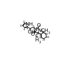 CN1C(=O)N(CC(O)c2ccc[nH]2)C(=O)C1(C)C1=CCCCC1